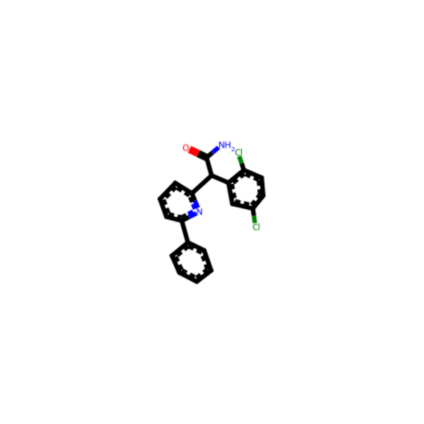 NC(=O)C(c1cccc(-c2ccccc2)n1)c1cc(Cl)ccc1Cl